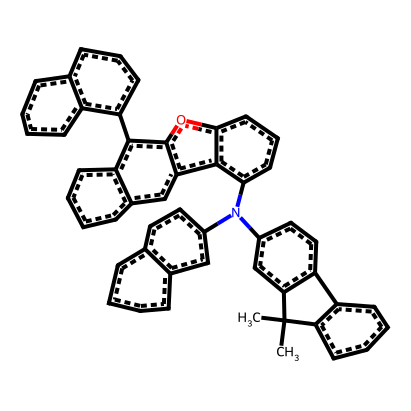 CC1(C)c2ccccc2-c2ccc(N(c3ccc4ccccc4c3)c3cccc4oc5c(-c6cccc7ccccc67)c6ccccc6cc5c34)cc21